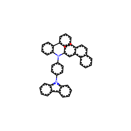 c1ccc(-c2ccccc2N(c2ccc(-n3c4ccccc4c4ccccc43)cc2)c2ccc3ccc4ccccc4c3c2)cc1